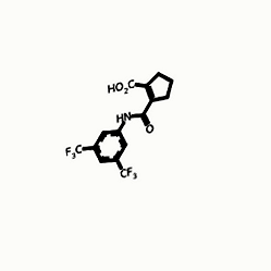 O=C(O)C1=C(C(=O)Nc2cc(C(F)(F)F)cc(C(F)(F)F)c2)CCC1